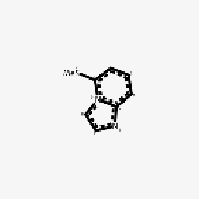 CSc1cccc2nccn12